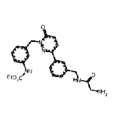 CCOC(=O)Nc1cccc(Cn2nc(-c3cccc(CNC(=O)CN)c3)ccc2=O)c1